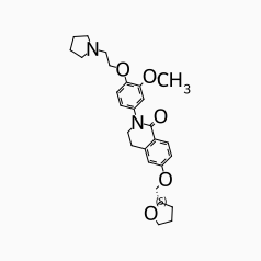 COc1cc(N2CCc3cc(OC[C@@H]4CCCO4)ccc3C2=O)ccc1OCCN1CCCC1